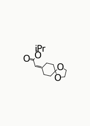 CC(C)OC(=O)C=C1CCC2(CC1)OCCO2